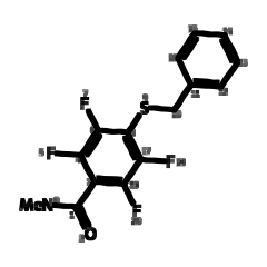 CNC(=O)c1c(F)c(F)c(SCc2ccccc2)c(F)c1F